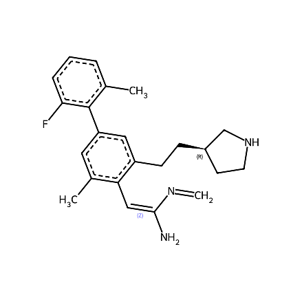 C=N/C(N)=C\c1c(C)cc(-c2c(C)cccc2F)cc1CC[C@@H]1CCNC1